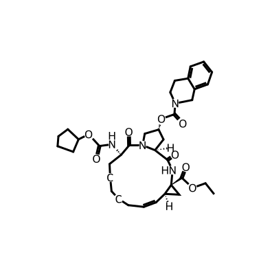 CCOC(=O)[C@@]12C[C@H]1C=CCCCCC[C@H](NC(=O)OC1CCCC1)C(=O)N1C[C@H](OC(=O)N3CCc4ccccc4C3)C[C@H]1C(=O)N2